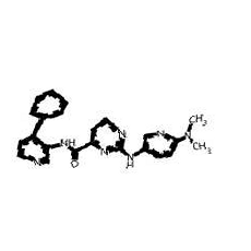 CN(C)c1ccc(Nc2nccc(C(=O)Nc3cnccc3-c3ccccc3)n2)cn1